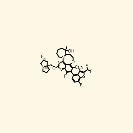 CC1(O)CCCCN2c3nc(OC[C@@]45CCCN4C[C@H](F)C5)nc4c(F)c(-c5ccc(F)c6sc(C(F)F)c(C#N)c56)c(Cl)c(c34)OCCC21